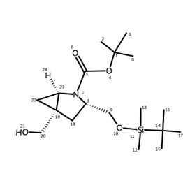 CC(C)(C)OC(=O)N1[C@H](CO[Si](C)(C)C(C)(C)C)C[C@@]2(CO)C[C@@H]12